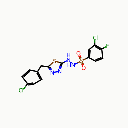 O=S(=O)(NNc1nnc(Cc2ccc(Cl)cc2)s1)c1ccc(F)c(Cl)c1